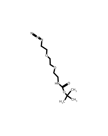 CC(C)(C)OC(=O)NCCOCCOCCN=[N+]=[N-]